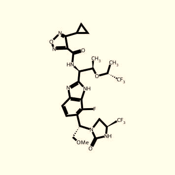 COC[C@H](c1ccc2nc([C@@H](NC(=O)c3nonc3C3CC3)[C@@H](C)O[C@H](C)C(F)(F)F)[nH]c2c1F)N1C[C@@H](C(F)(F)F)NC1=O